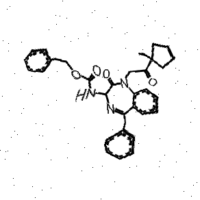 CC1(C(=O)CN2C(=O)C(NC(=O)OCc3ccccc3)N=C(c3ccccc3)c3ccccc32)CCCC1